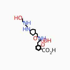 O=C(CC1CCC(NCCNCCO)CC1)N[C@H]1Cc2cccc(C(=O)O)c2OB1O